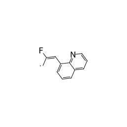 [CH2]/C(F)=C\c1cccc2cccnc12